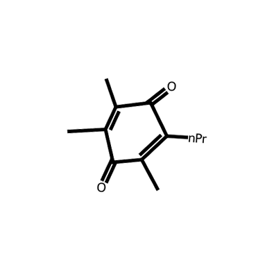 [CH2]CCC1=C(C)C(=O)C(C)=C(C)C1=O